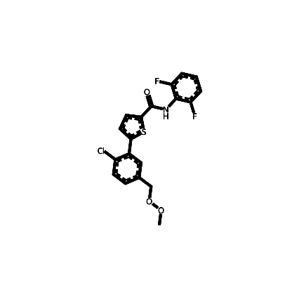 COOCc1ccc(Cl)c(-c2ccc(C(=O)Nc3c(F)cccc3F)s2)c1